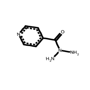 NN(N)C(=O)c1ccncc1